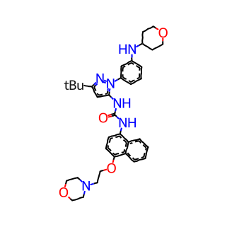 CC(C)(C)c1cc(NC(=O)Nc2ccc(OCCN3CCOCC3)c3ccccc23)n(-c2cccc(NC3CCOCC3)c2)n1